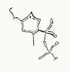 CSc1ccc(S(=O)(=O)OS(=O)(=O)O)c(C)c1